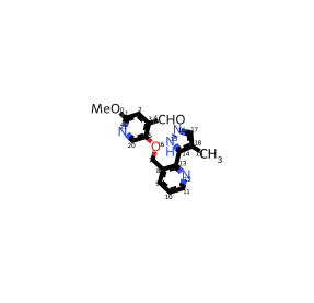 COc1cc(C=O)c(OCc2cccnc2-c2[nH]ncc2C)cn1